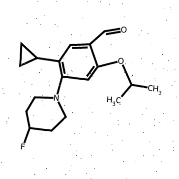 CC(C)Oc1cc(N2CCC(F)CC2)c(C2CC2)cc1C=O